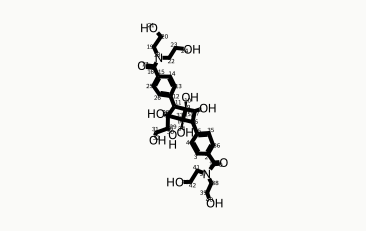 O=C(c1ccc(C2C(O)[C@@]3(O)C(c4ccc(C(=O)N(CCO)CCO)cc4)[C@@](O)([C@H](O)CO)[C@@]23O)cc1)N(CCO)CCO